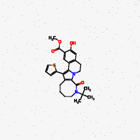 COC(=O)c1cc2c(cc1O)CCn1c3c(c(-c4cccs4)c1-2)CCCCN(C(C)(C)C)C3=O